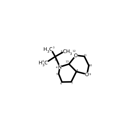 CC(C)(C)N1CCCC2OCCOC21